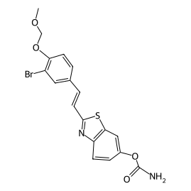 COCOc1ccc(C=Cc2nc3ccc(OC(N)=O)cc3s2)cc1Br